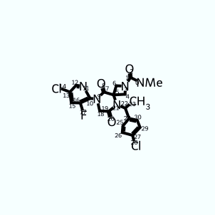 CNC(=O)N1CC2(C1)C(=O)N(c1ncc(Cl)cc1F)CC(=O)N2C(C)c1ccc(Cl)cc1